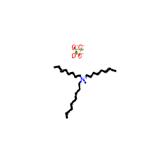 CCCCCCCC[N+](C)(CCCCCCCC)CCCCCCCC.[O-][Cl+3]([O-])([O-])[O-]